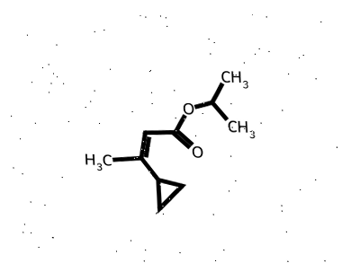 C/C(=C/C(=O)OC(C)C)C1CC1